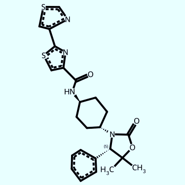 CC1(C)OC(=O)N([C@H]2CC[C@H](NC(=O)c3csc(-c4cscn4)n3)CC2)[C@H]1c1ccccc1